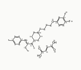 CSC(=Nc1ccc(C)cc1)N(C)C1CCN(CCCCOc2ccc(F)c(F)c2)CC1.O=C(O)C=CC(=O)O